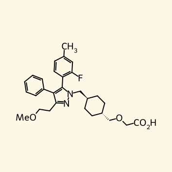 COCCc1nn(C[C@H]2CC[C@H](COCC(=O)O)CC2)c(-c2ccc(C)cc2F)c1-c1ccccc1